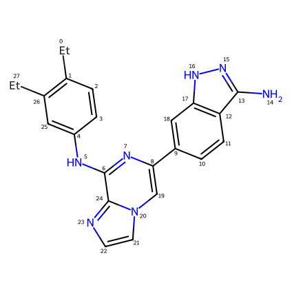 CCc1ccc(Nc2nc(-c3ccc4c(N)n[nH]c4c3)cn3ccnc23)cc1CC